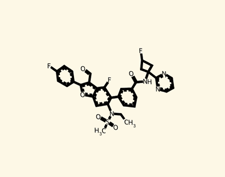 CCN(c1cc2oc(-c3ccc(F)cc3)c(C=O)c2c(F)c1-c1cccc(C(=O)NC2(c3ncccn3)CC(F)C2)c1)S(C)(=O)=O